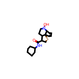 O=C(NC1CCCCC1)C1CSC23C=CC=CC2N(O)CCC13